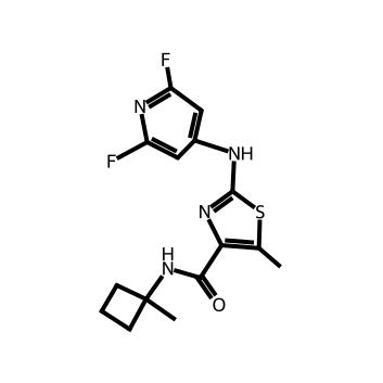 Cc1sc(Nc2cc(F)nc(F)c2)nc1C(=O)NC1(C)CCC1